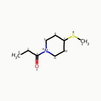 CCC(=O)N1CCC(SC)CC1